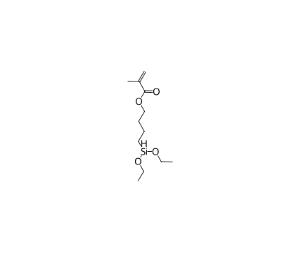 C=C(C)C(=O)OCCCC[SiH](OCC)OCC